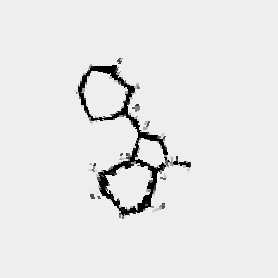 CN1CC(C2CCCCC2)c2ccccc21